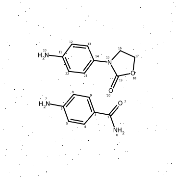 NC(=O)c1ccc(N)cc1.Nc1ccc(N2CCOC2=O)cc1